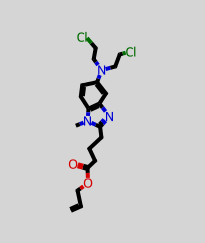 C=CCOC(=O)CCCc1nc2cc(N(CCCl)CCCl)ccc2n1C